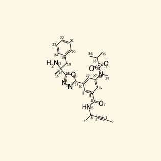 CC#CC(C)NC(=O)c1cc(-c2nnc([C@](C)(N)Cc3ccccc3)o2)cc(N(C)S(=O)(=O)C(C)C)c1